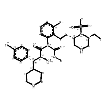 CC[C@H]1CNC[C@H](CCc2c(F)cccc2N(C(=O)OC)C(=O)[C@@H](N)[C@@H](c2ccc(Cl)cc2)C2CCOCC2)N1S(C)(=O)=O